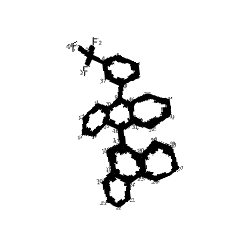 FC(F)(F)c1cccc(-c2c3ccccc3c(-c3cc4ccccc4c4ccccc34)c3ccccc23)c1